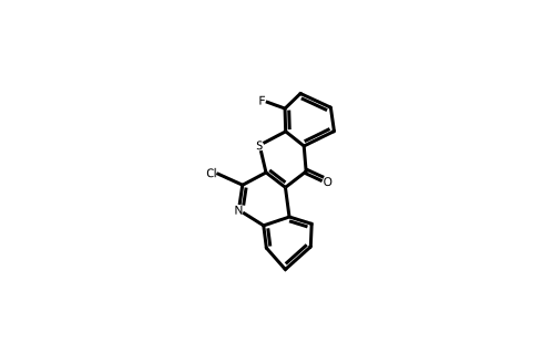 O=c1c2cccc(F)c2sc2c(Cl)nc3ccccc3c12